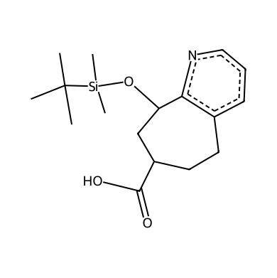 CC(C)(C)[Si](C)(C)OC1CC(C(=O)O)CCc2cccnc21